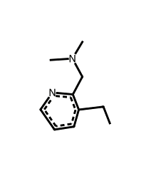 CCc1cccnc1CN(C)C